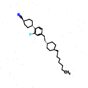 CCCCCCC[C@H]1CC[C@H](CCc2ccc([C@H]3CC[C@H](C#N)CC3)c(F)c2)CC1